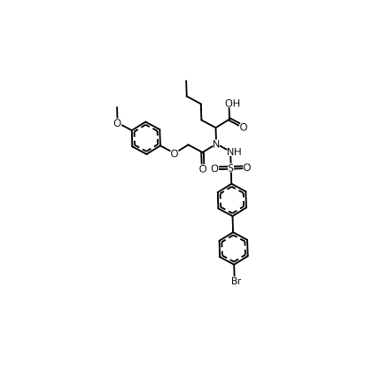 CCCCC(C(=O)O)N(NS(=O)(=O)c1ccc(-c2ccc(Br)cc2)cc1)C(=O)COc1ccc(OC)cc1